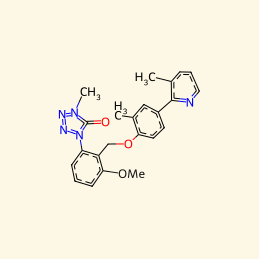 COc1cccc(-n2nnn(C)c2=O)c1COc1ccc(-c2ncccc2C)cc1C